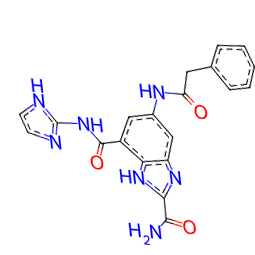 NC(=O)c1nc2cc(NC(=O)Cc3ccccc3)cc(C(=O)Nc3ncc[nH]3)c2[nH]1